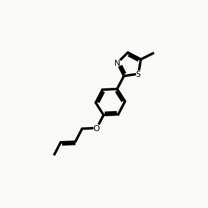 CC=CCOc1ccc(-c2ncc(C)s2)cc1